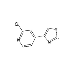 Clc1cc(-c2cs[c]n2)ccn1